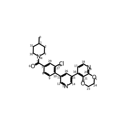 CC1CCN(C(=O)c2ccc(-c3cncc(-c4ccnc5c4OCCO5)c3)c(Cl)c2)CC1